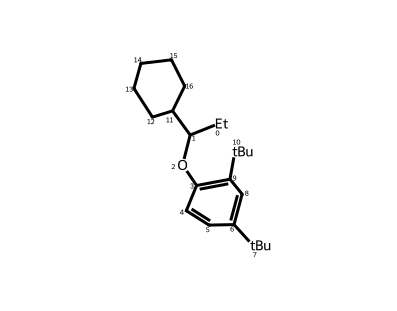 CCC(Oc1ccc(C(C)(C)C)cc1C(C)(C)C)C1CCCCC1